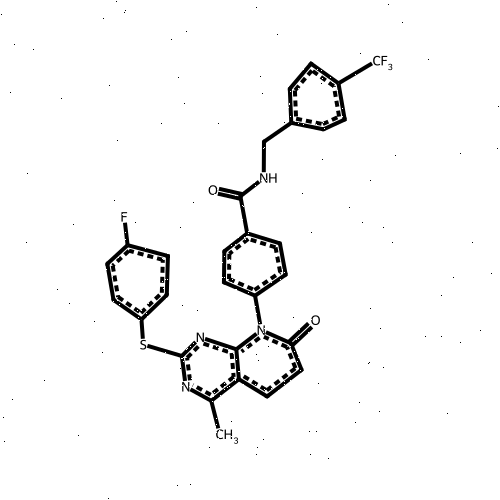 Cc1nc(Sc2ccc(F)cc2)nc2c1ccc(=O)n2-c1ccc(C(=O)NCc2ccc(C(F)(F)F)cc2)cc1